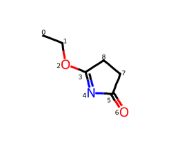 CCOC1=NC(=O)CC1